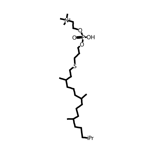 CC(C)CCCC(C)CCCC(C)CCCC(C)CCSCCCOP(=O)(O)OCC[N+](C)(C)C